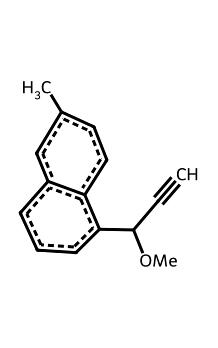 C#CC(OC)c1cccc2cc(C)ccc12